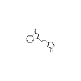 C(=Cc1c[nH]c2ccccc12)c1cn[nH]c1